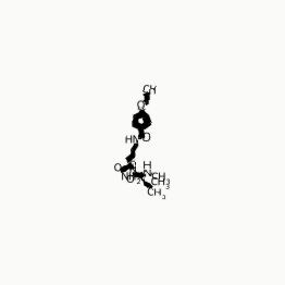 C#CCOc1ccc(C(=O)NCCCC[C@H](NC(=O)[C@H](CC(C)C)NC)C(N)=O)cc1